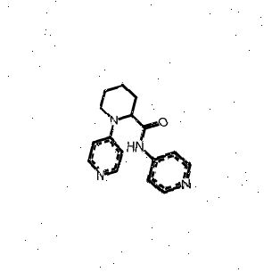 O=C(Nc1ccncc1)C1C[CH]CCN1c1ccncc1